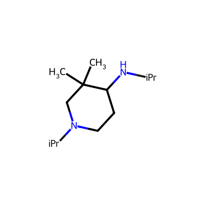 CC(C)NC1CCN(C(C)C)CC1(C)C